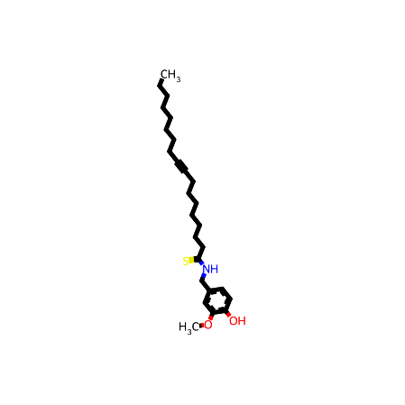 CCCCCCCCC#CCCCCCCCC(=S)NCc1ccc(O)c(OC)c1